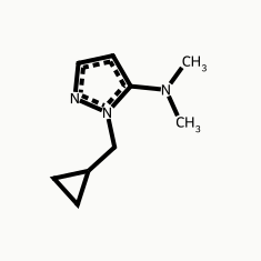 CN(C)c1ccnn1CC1CC1